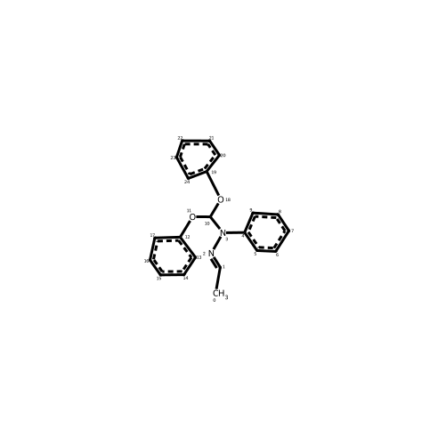 CC=NN(c1ccccc1)C(Oc1ccccc1)Oc1ccccc1